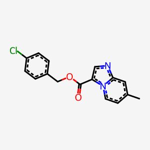 Cc1ccn2c(C(=O)OCc3ccc(Cl)cc3)cnc2c1